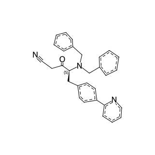 N#CCC(=O)[C@H](Cc1ccc(-c2ccccn2)cc1)N(Cc1ccccc1)Cc1ccccc1